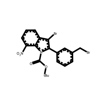 CC(C)(C)OC(=O)n1c(-c2cccc(CBr)c2)c(Br)c2cccc([N+](=O)[O-])c21